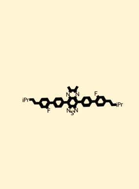 Cc1nc2c(-c3ccc(-c4ccc(CCC(C)C)cc4F)cc3)c3nsnc3c(-c3ccc(-c4ccc(CCC(C)C)cc4F)cc3)c2nc1C